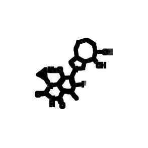 COc1c(N2CC3CCCCC(O)C(O)C3C2)c(F)c(C)c2c(=O)[nH]c(=O)n(C3CC3)c12